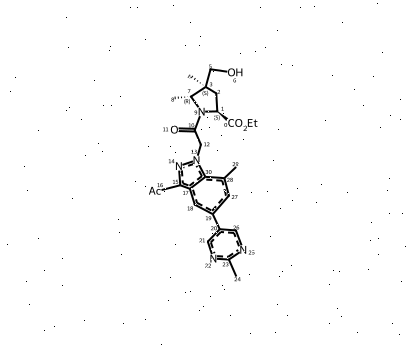 CCOC(=O)[C@@H]1C[C@](C)(CO)[C@@H](C)N1C(=O)Cn1nc(C(C)=O)c2cc(-c3cnc(C)nc3)cc(C)c21